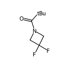 CC(C)(C)C(=O)N1CC(F)(F)C1